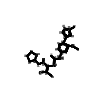 COc1cc(N/C(C)=N/C(NC[C@H]2CCCO2)=C(\C)Cl)ccc1-c1cnn(C)c1